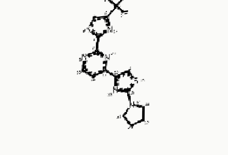 FC(F)(F)c1csc(-c2n[c]cc(-c3csc(N4CCCC4)n3)n2)n1